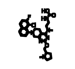 CN(CCNC(=O)O)c1nc(OCC2CCCN2C)nc2c1CCN(c1cccc3ccc(F)c(Cl)c13)C2